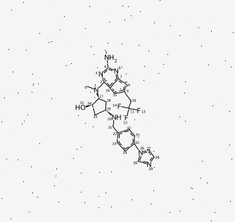 CN(c1nc(N)nc2sc(CC(F)(F)F)cc12)[C@H]1C[C@@H](NCc2ccc(-n3ccnc3)cc2)C[C@H]1O